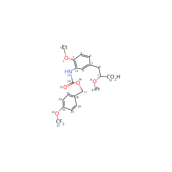 CCOc1ccc(CC(OC(C)C)C(=O)O)cc1NC(=O)OCc1ccc(OC(F)(F)F)cc1